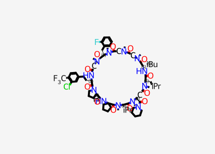 CC[C@H](C)[C@@H]1NC(=O)[C@H](CC(C)C)N(C)C(=O)C[C@@H](C(=O)N2CCCCC2)N(C)C(=O)[C@H](C(C)C)N(C)C(=O)C2(CCCC2)NC(=O)[C@@H]2CCCN2C(=O)[C@H](CCc2ccc(C(F)(F)F)c(Cl)c2)NC(=O)CN(C)C(=O)[C@H](Cc2ccccc2F)N(C)C(=O)CN(C)C(=O)CN(C)C1=O